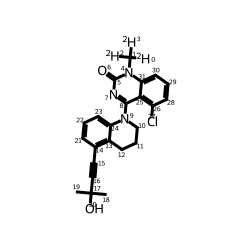 [2H]C([2H])([2H])n1c(=O)nc(N2CCCc3c(C#CC(C)(C)O)cccc32)c2c(Cl)cccc21